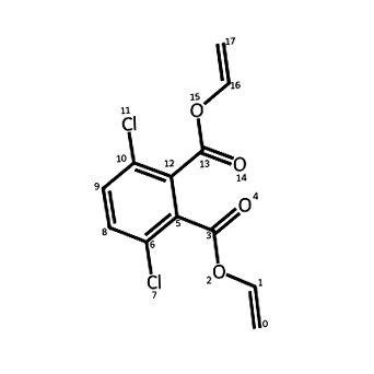 C=COC(=O)c1c(Cl)ccc(Cl)c1C(=O)OC=C